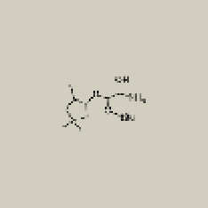 CC1CC(C)(C)CC1OC(OC(C)(C)C)C(N)O